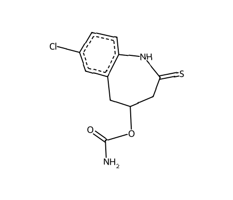 NC(=O)OC1CC(=S)Nc2ccc(Cl)cc2C1